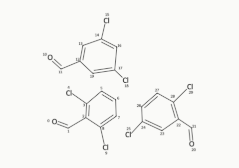 O=Cc1c(Cl)cccc1Cl.O=Cc1cc(Cl)cc(Cl)c1.O=Cc1cc(Cl)ccc1Cl